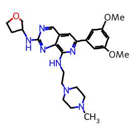 COc1cc(OC)cc(-c2cc3cnc(NC4CCOC4)nc3c(NCCN3CCN(C)CC3)n2)c1